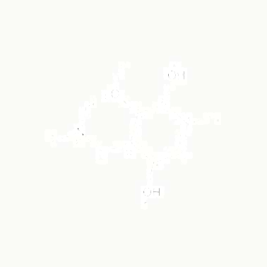 COc1c(O)c(C)cc(O)c1CN(C)C